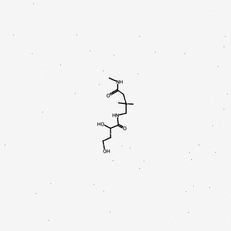 CNC(=O)CC(C)(C)CNC(=O)C(O)CCO